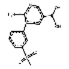 CS(=O)(=O)c1cccc(-c2cc(B(O)O)cnc2N)c1